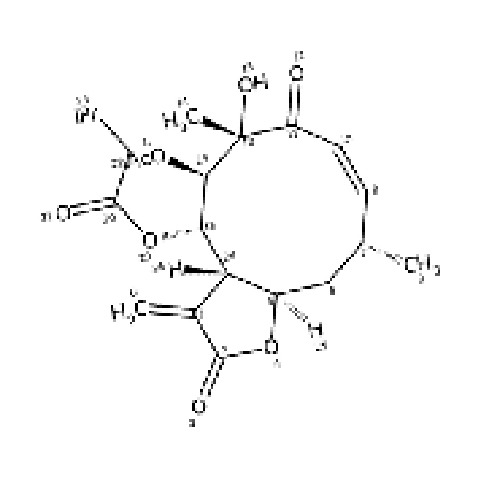 C=C1C(=O)O[C@@H]2C[C@@H](C)/C=C\C(=O)[C@@](C)(O)[C@H](OC(C)=O)[C@@H](OC(=O)CC(C)C)[C@@H]12